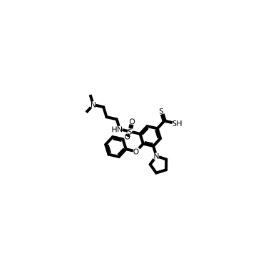 CN(C)CCCNS(=O)(=O)c1cc(C(=S)S)cc(N2CCCC2)c1Oc1ccccc1